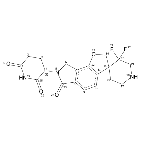 O=C1CC[C@H](N2Cc3c(ccc4c3OCC43CCNCC3(F)F)C2=O)C(=O)N1